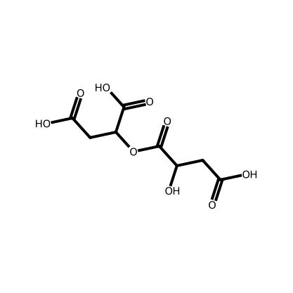 O=C(O)CC(O)C(=O)OC(CC(=O)O)C(=O)O